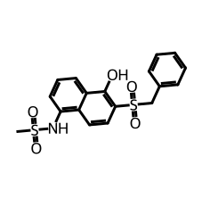 CS(=O)(=O)Nc1cccc2c(O)c(S(=O)(=O)Cc3ccccc3)ccc12